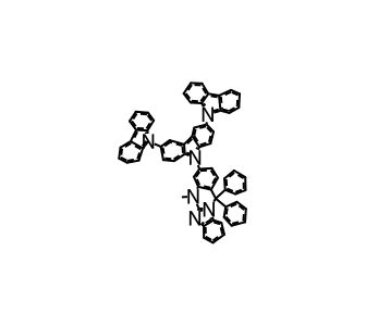 CN1c2cc(-n3c4ccc(-n5c6ccccc6c6ccccc65)cc4c4cc(-n5c6ccccc6c6ccccc65)ccc43)ccc2C(c2ccccc2)(c2ccccc2)n2c1nc1ccccc12